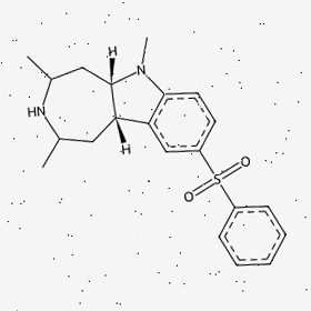 CC1C[C@H]2c3cc(S(=O)(=O)c4ccccc4)ccc3N(C)[C@H]2CC(C)N1